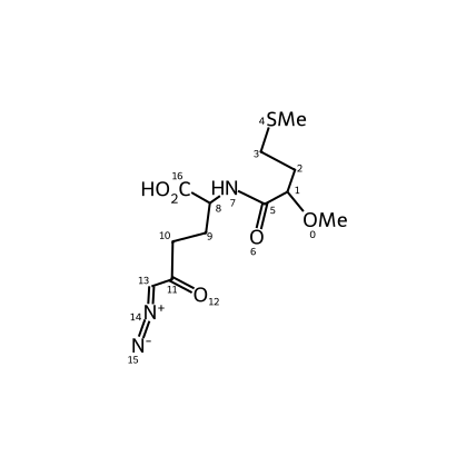 COC(CCSC)C(=O)NC(CCC(=O)C=[N+]=[N-])C(=O)O